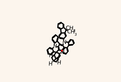 CC1(C)c2ccccc2-c2ccc(N(c3ccccc3-c3ccccc3)c3ccc4c5c3c3ccccc3n5-c3ccccc3C43[C@H]4C[C@H]5C[C@H](C[C@H]3C5)C4)cc21